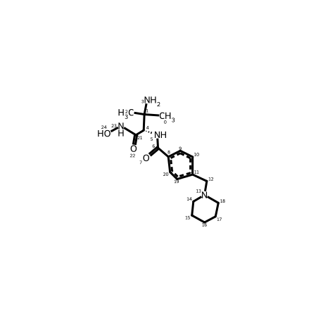 CC(C)(N)[C@H](NC(=O)c1ccc(CN2CCCCC2)cc1)C(=O)NO